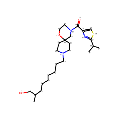 CC(CO)CCCCCCCN1CCC2(CC1)CN(C(=O)c1csc(C(C)C)n1)CCO2